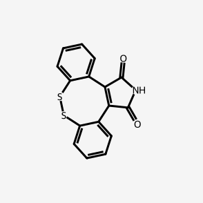 O=C1NC(=O)c2c1c1ccccc1ssc1ccccc21